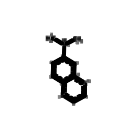 C[SH](C)c1ccc2nccnc2c1